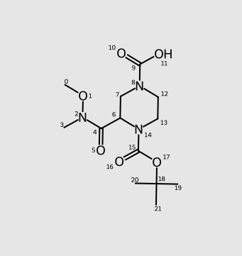 CON(C)C(=O)C1CN(C(=O)O)CCN1C(=O)OC(C)(C)C